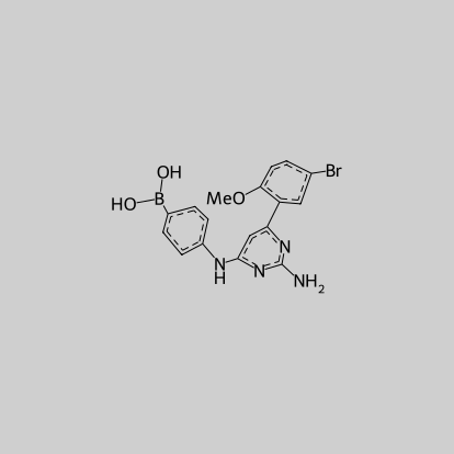 COc1ccc(Br)cc1-c1cc(Nc2ccc(B(O)O)cc2)nc(N)n1